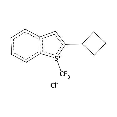 FC(F)(F)[s+]1c(C2CCC2)cc2ccccc21.[Cl-]